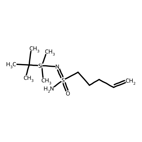 C=CCCCS(N)(=O)=N[Si](C)(C)C(C)(C)C